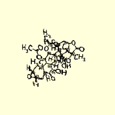 CC(=O)O[C@H]1C2[C@H]([C@@H]3[C@@H](O)[C@@H]4[C@H]([C@H](C)C=C5OC(=O)[C@@](C)(O)[C@@]54C)[C@@]3(C)[C@H]1OC(C)=O)[C@@H](O)C(=O)[C@H]1C[C@@H]3O[C@@H]3C[C@]21C